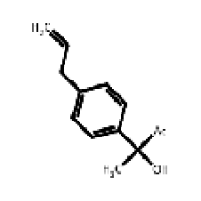 C=CCc1ccc(C(C)(O)C(C)=O)cc1